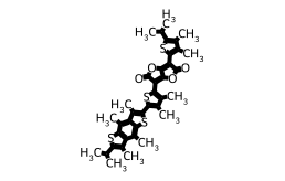 Cc1c(C2=C3OC(=O)C(c4sc(C(C)C)c(C)c4C)=C3OC2=O)sc(-c2sc3c(C)c4c(C)c(C(C)C)sc4c(C)c3c2C)c1C